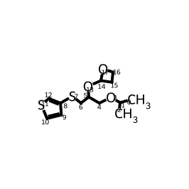 CC(C)OCC(CSc1ccsc1)OC1CCO1